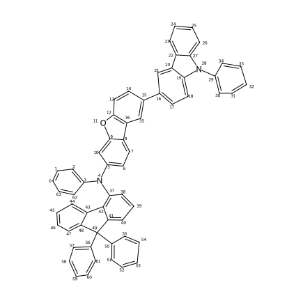 c1ccc(N(c2ccc3c(c2)oc2ccc(-c4ccc5c(c4)c4ccccc4n5-c4ccccc4)cc23)c2cccc3c2-c2ccccc2C3(c2ccccc2)c2ccccc2)cc1